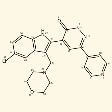 O=c1[nH]nc(-c2ccncc2)cc1-c1[nH]c2ccc(Cl)cc2c1CN1CCOCC1